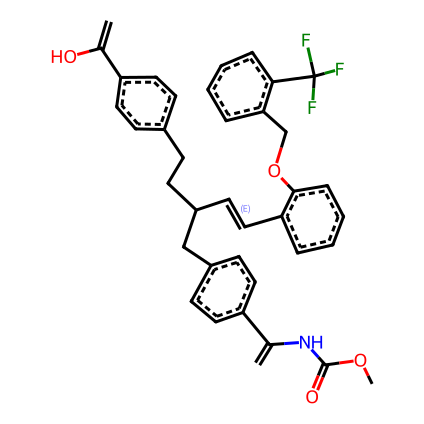 C=C(O)c1ccc(CCC(/C=C/c2ccccc2OCc2ccccc2C(F)(F)F)Cc2ccc(C(=C)NC(=O)OC)cc2)cc1